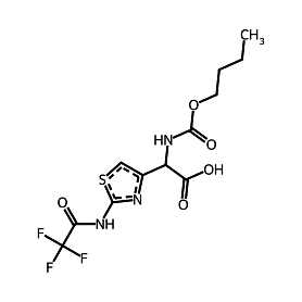 CCCCOC(=O)NC(C(=O)O)c1csc(NC(=O)C(F)(F)F)n1